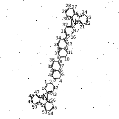 C1=C[C@H](c2ccc3cc(-c4ccc5cc(-c6ccc(-n7c8ccccc8c8ccccc87)cc6)ccc5c4)ccc3c2)CC=C1n1c2ccccc2c2ccccc21